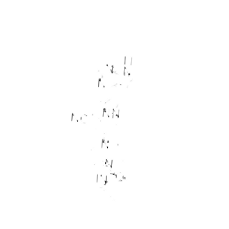 N#CCC1(n2cc(-c3ncnc4[nH]ccc34)cn2)CC(N2CCN(C(=O)NC3CC3)CC2)C1